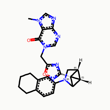 Cn1cnc2ncn(Cc3nc([C@@]45C6[C@H]4[C@H]5CN6c4ccc5c(c4)CCCC5)no3)c(=O)c21